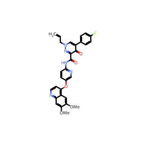 C=CCn1cc(-c2ccc(F)cc2)c(=O)c(C(=O)Nc2ccc(Oc3ccnc4cc(OC)c(OC)cc34)cn2)n1